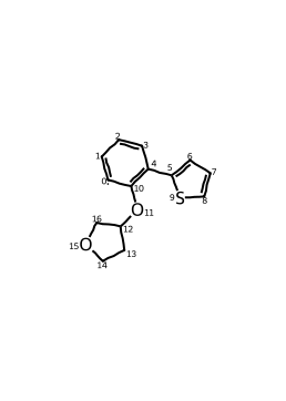 [c]1cccc(-c2cccs2)c1OC1CCOC1